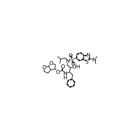 CC(C)CN(CC(O)C(Cc1ccccc1)NC(=O)OC1COC2OCCC12)S(=O)(=O)c1ccc2nc(N(C)C)sc2c1